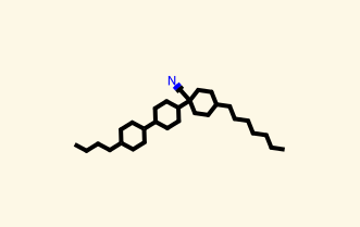 CCCCCCCC1CCC(C#N)(C2CCC(C3CCC(CCCC)CC3)CC2)CC1